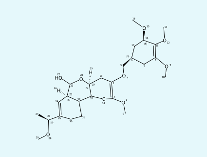 COC1=C(OC[C@@H]2CC(OC)=C(OC)[C@H](OC)C2)C[C@@H]2OC(O)[C@@H]3C=C([C@H](C)OC)CCC3C2C1